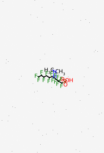 CNC.O=S(=O)(O)C(F)C(F)(F)C(F)(F)C(F)(F)C(F)C(F)C(F)C(F)C(F)C(F)F